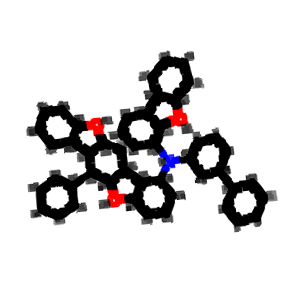 c1ccc(-c2cccc(N(c3cccc4c3oc3ccccc34)c3cccc4oc5c(-c6ccccc6)c6c(cc5c34)oc3ccccc36)c2)cc1